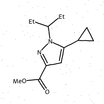 CCC(CC)n1nc(C(=O)OC)cc1C1CC1